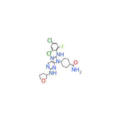 NC(=O)C1CCC(n2c(Nc3c(F)cc(Cl)cc3Cl)nc3cnc(NC4CCCOC4)nc32)CC1